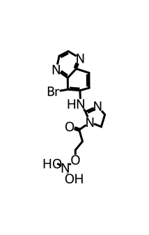 O=C(CCON(O)O)N1CCN=C1Nc1ccc2nccnc2c1Br